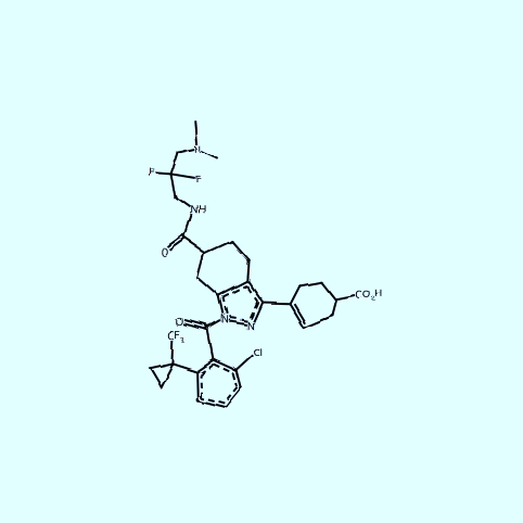 CN(C)CC(F)(F)CNC(=O)C1CCc2c(C3=CCC(C(=O)O)CC3)nn(C(=O)c3c(Cl)cccc3C3(C(F)(F)F)CC3)c2C1